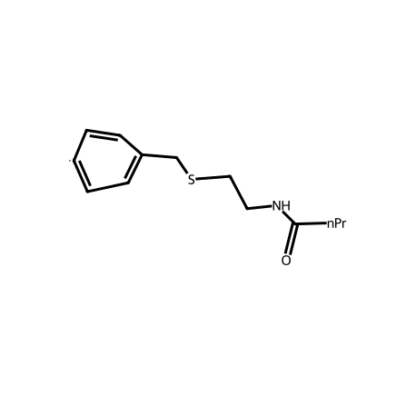 [CH2]CCC(=O)NCCSCc1cc[c]cc1